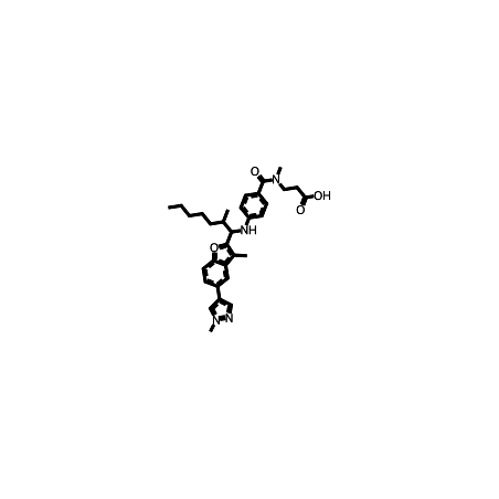 CCCCCC(C)C(Nc1ccc(C(=O)N(C)CCC(=O)O)cc1)c1oc2ccc(-c3cnn(C)c3)cc2c1C